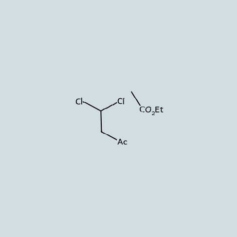 CC(=O)CC(Cl)Cl.CCOC(C)=O